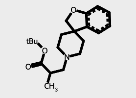 CC(CN1CCC2(CC1)COc1ccccc12)C(=O)OC(C)(C)C